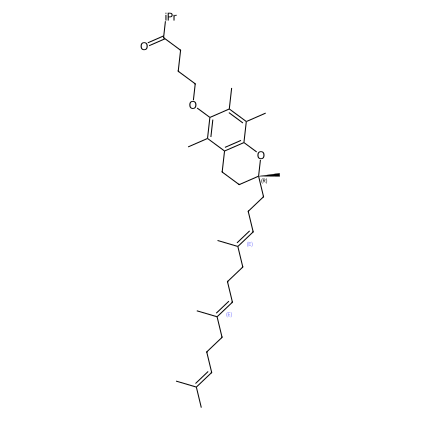 CC(C)=CCC/C(C)=C/CC/C(C)=C/CC[C@]1(C)CCc2c(C)c(OCCCC(=O)C(C)C)c(C)c(C)c2O1